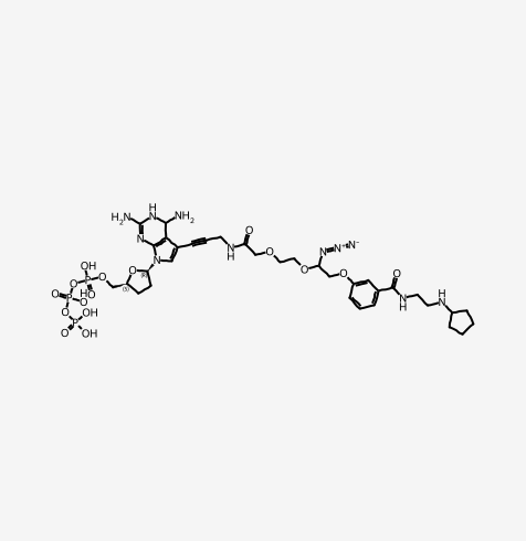 [N-]=[N+]=NC(COc1cccc(C(=O)NCCNC2CCCC2)c1)OCCOCC(=O)NCC#Cc1cn([C@H]2CC[C@@H](COP(=O)(O)OP(=O)(O)OP(=O)(O)O)O2)c2c1C(N)NC(N)=N2